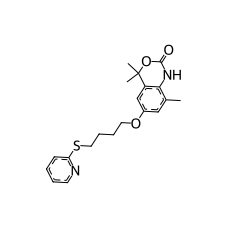 Cc1cc(OCCCCSc2ccccn2)cc2c1NC(=O)OC2(C)C